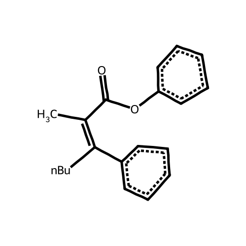 CCCCC(=C(C)C(=O)Oc1ccccc1)c1ccccc1